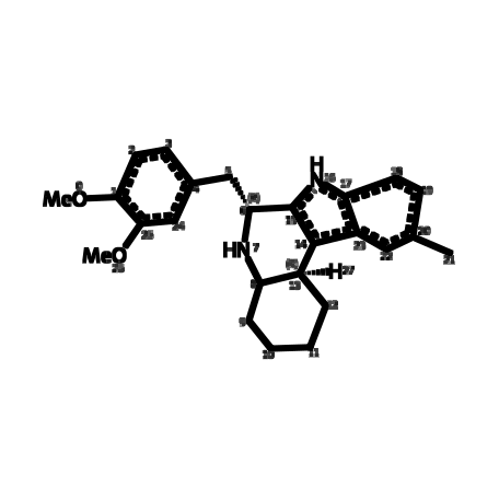 COc1ccc(C[C@H]2NC3CCCC[C@@H]3c3c2[nH]c2ccc(C)cc32)cc1OC